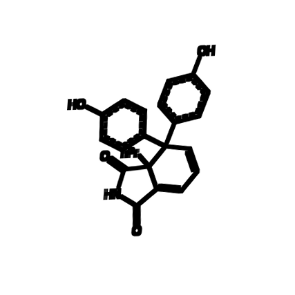 CCCC12C(=O)NC(=O)C1=CC=CC2(c1ccc(O)cc1)c1ccc(O)cc1